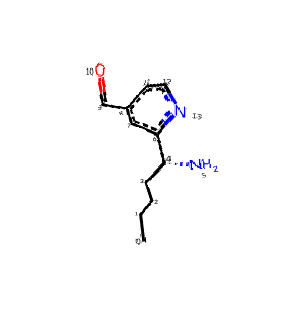 CCCC[C@@H](N)c1cc(C=O)ccn1